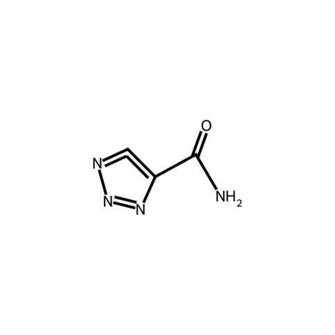 NC(=O)C1=C=NN=N1